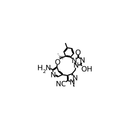 Cc1ccc2c(c1)[C@@H](C)Oc1cc(cnc1N)-c1c(nn(C)c1C#N)Cn1c(O)nc(=O)n1-2